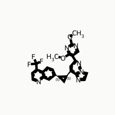 COc1ncc(-c2cc([C@H]3C[C@@H]3c3ccc4c(C(F)(F)F)ccnc4c3)c3nccn3n2)c(OC)n1